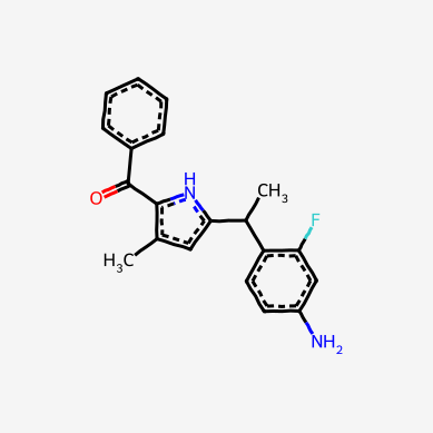 Cc1cc(C(C)c2ccc(N)cc2F)[nH]c1C(=O)c1ccccc1